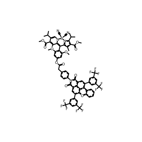 COC(=O)C1=C(C)C2=C(c3c(OC)cc(OC(=O)Cc4ccc(-n5c(=O)c6cc(-c7cc(C(F)(F)F)cc(C(F)(F)F)c7)c7oc8ccccc8c8c(-c9cc(C(F)(F)F)cc(C(F)(F)F)c9)cc(c5=O)c6c78)cc4)cc3OC)c3c(C)c(C(=O)OC)c(C(C)C)n3[B-](C#N)(C#N)N2C=C1C(C)C